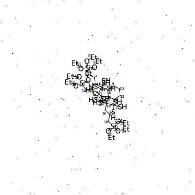 CCO[Si](CCCC(S)(C1CCCCC1(C(S)(CCC[Si](OCC)(OCC)OCC)C(S)(S)S)C(S)(CCC[Si](OCC)(OCC)OCC)C(S)(S)S)C(S)(S)S)(OCC)OCC